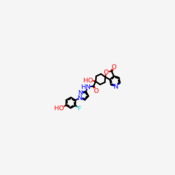 O=C1OC2(CCC(O)(C(=O)Nc3ccn(-c4ccc(O)cc4F)n3)CC2)c2cnccc21